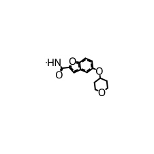 [NH]C(=O)c1cc2cc(OC3CCOCC3)ccc2o1